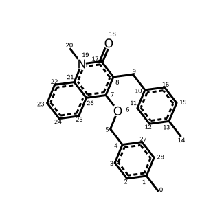 Cc1ccc(COc2c(Cc3ccc(C)cc3)c(=O)n(C)c3ccccc23)cc1